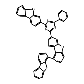 c1ccc(-c2nc(-c3ccc4c(c3)oc3ccccc34)nc(-c3ccc4c(c3)oc3cccc(-c5cccc6c5oc5ccccc56)c34)n2)cc1